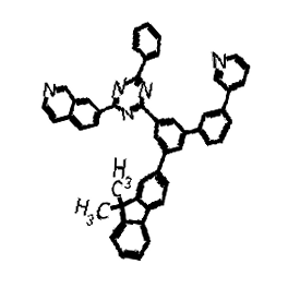 CC1(C)c2ccccc2-c2ccc(-c3cc(-c4cccc(-c5cccnc5)c4)cc(-c4nc(-c5ccccc5)nc(-c5ccc6ccncc6c5)n4)c3)cc21